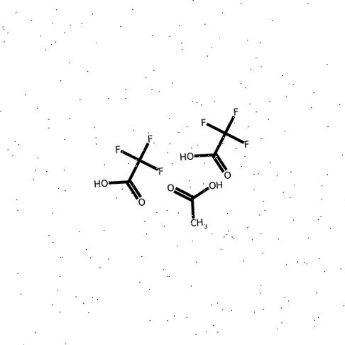 CC(=O)O.O=C(O)C(F)(F)F.O=C(O)C(F)(F)F